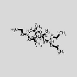 CCO[SiH](OCC)O[Si](C)(C)O[Si](C)(C)O[SiH](OCC)OCC